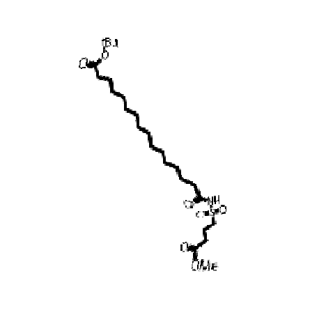 COC(=O)CCCS(=O)(=O)NC(=O)CCCCCCCCCCCCCCC(=O)OC(C)(C)C